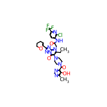 CCc1c(N2CCN(C(=O)c3ncnc(C)c3O)CC2)c(=O)n2nc(C3=CCCCO3)nc2n1CC(=O)Nc1ccc(C(F)(F)F)nc1Cl